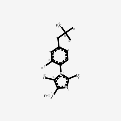 CCOC(=O)c1nc(CC)n(-c2ccc(CC(C)(C)C(F)(F)F)cc2F)c1Cl